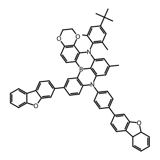 Cc1cc2c3c(c1)N(c1c(C)cc(C(C)(C)C)cc1C)c1c(ccc4c1OCCO4)B3c1cc(-c3ccc4c(c3)oc3ccccc34)ccc1N2c1ccc(-c2ccc3c(c2)OC2C=CC=CC32)cc1